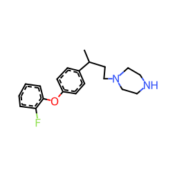 CC(CCN1CCNCC1)c1ccc(Oc2ccccc2F)cc1